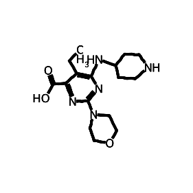 CCc1c(NC2CCNCC2)nc(N2CCOCC2)nc1C(=O)O